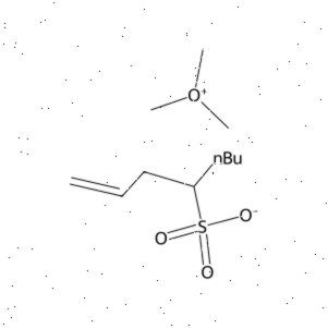 C=CCC(CCCC)S(=O)(=O)[O-].C[O+](C)C